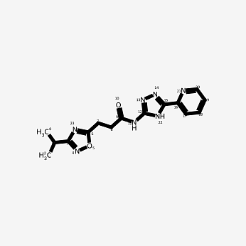 CC(C)c1noc(CCC(=O)Nc2nnc(-c3ccccn3)[nH]2)n1